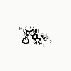 COc1cc2c(cc1C(=O)N(C)C)[nH]c(=O)c1c(C)nc(N3CCCCC3)n12